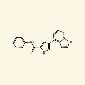 O=C(Nc1ccccc1)c1cc(-c2ccnc3[nH]ccc23)c[nH]1